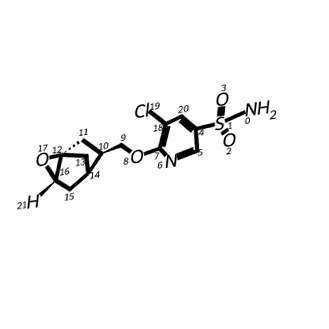 NS(=O)(=O)c1cnc(OC[C@@H]2C[C@]34CC2C[C@@H]3O4)c(Cl)c1